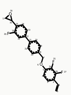 C=Cc1ccc(OCc2ccc(-c3ccc(C4CO4)c(F)c3)cc2)c(F)c1F